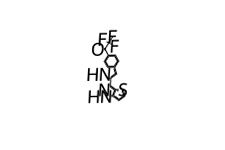 O=C(c1ccc2cc(-c3n[nH]c4ccsc34)[nH]c2c1)C(F)(F)F